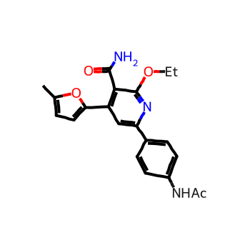 CCOc1nc(-c2ccc(NC(C)=O)cc2)cc(-c2ccc(C)o2)c1C(N)=O